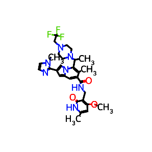 COc1cc(C)[nH]c(=O)c1CNC(=O)c1cc2cc(-c3nccn3C)cn2c(C(C)N2CCN(CC(F)(F)F)CC2)c1C